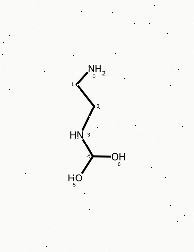 NCCNC(O)O